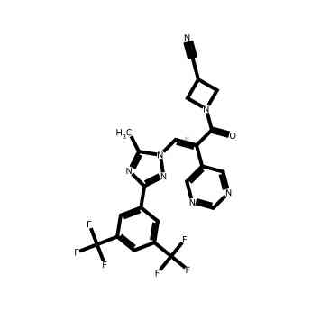 Cc1nc(-c2cc(C(F)(F)F)cc(C(F)(F)F)c2)nn1/C=C(/C(=O)N1CC(C#N)C1)c1cncnc1